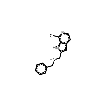 Clc1nccc2cc(CNCc3ccccc3)[nH]c12